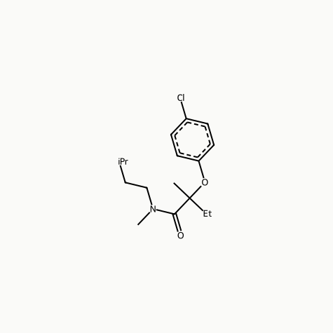 CCC(C)(Oc1ccc(Cl)cc1)C(=O)N(C)CCC(C)C